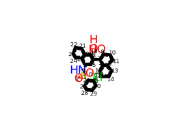 O=S(=O)(Nc1cc(-c2c(O)ccc3ccccc23)c(O)c2ccccc12)c1ccccc1Cl